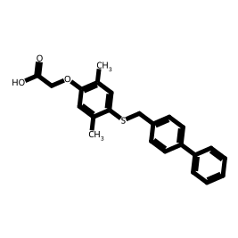 Cc1cc(SCc2ccc(-c3ccccc3)cc2)c(C)cc1OCC(=O)O